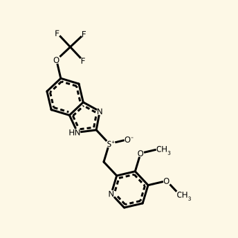 COc1ccnc(C[S+]([O-])c2nc3cc(OC(F)(F)F)ccc3[nH]2)c1OC